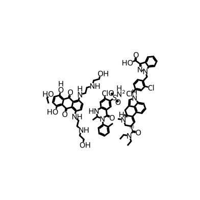 CCN(CC)C(=O)[C@@H]1C=C2c3cccc4[nH]cc(c34)C[C@H]2N(C)C1.CCO.Cc1ccccc1N1C(=O)c2cc(S(N)(=O)=O)c(Cl)cc2NC1C.O=C(O)c1nn(Cc2ccc(Cl)cc2Cl)c2ccccc12.O=C1c2c(O)ccc(O)c2C(=O)c2c(NCCNCCO)ccc(NCCNCCO)c21